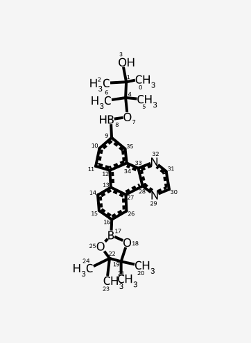 CC(C)(O)C(C)(C)OBc1ccc2c3ccc(B4OC(C)(C)C(C)(C)O4)cc3c3nccnc3c2c1